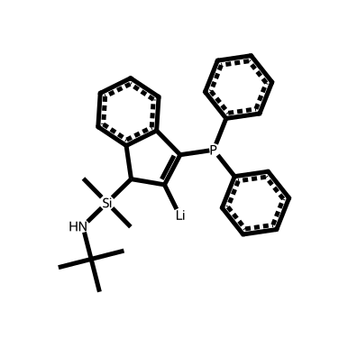 [Li][C]1=C(P(c2ccccc2)c2ccccc2)c2ccccc2C1[Si](C)(C)NC(C)(C)C